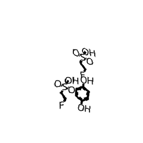 O=S(=O)(O)CCF.O=S(=O)(O)CCF.Oc1ccc(O)cc1